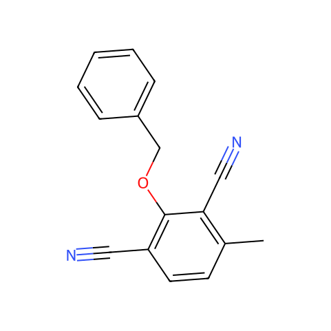 Cc1ccc(C#N)c(OCc2ccccc2)c1C#N